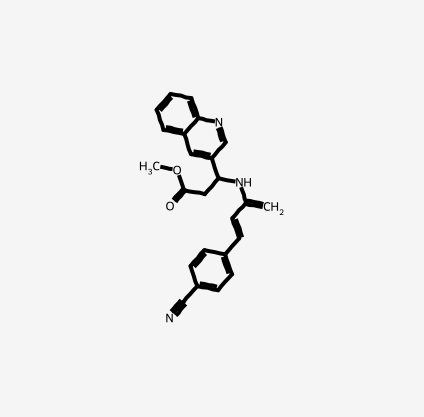 C=C(/C=C/c1ccc(C#N)cc1)NC(CC(=O)OC)c1cnc2ccccc2c1